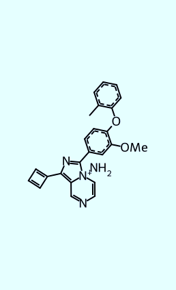 COc1cc(C2=NC(C3=CC=C3)=C3C=NC=C[N+]23N)ccc1Oc1ccccc1C